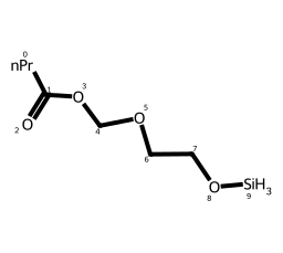 CCCC(=O)OCOCCO[SiH3]